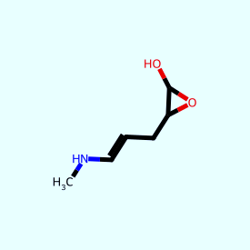 CN/C=C/CC1OC1O